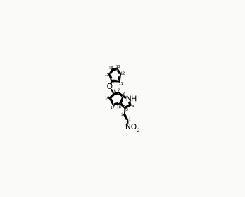 O=[N+]([O-])C=Cc1c[nH]c2cc(Oc3ccccc3)ccc12